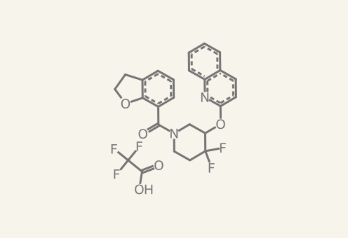 O=C(O)C(F)(F)F.O=C(c1cccc2c1OCC2)N1CCC(F)(F)C(Oc2ccc3ccccc3n2)C1